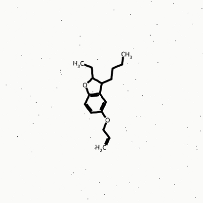 C=CCOc1ccc2c(c1)C(CCCC)C(CC)O2